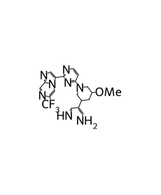 COC1CC(/C(C=N)=C/N)CN(c2ccnc(-c3cnc4cnc(C(F)(F)F)cn34)n2)C1